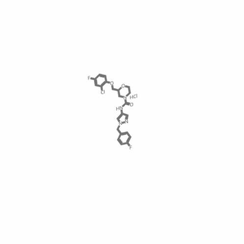 Cl.O=C(Nc1cnn(Cc2ccc(F)cc2)c1)N1CCOC(COc2ccc(F)cc2Cl)C1